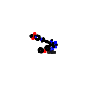 C=CS(=O)(=O)N1CCC(N2CC(C#Cc3c(-c4ccc(Oc5ccccc5)c(OC)c4)c4c(N)ncnc4n3C)C2)CC1